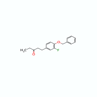 CCC(=O)CCc1ccc(OCc2ccccc2)c(F)c1